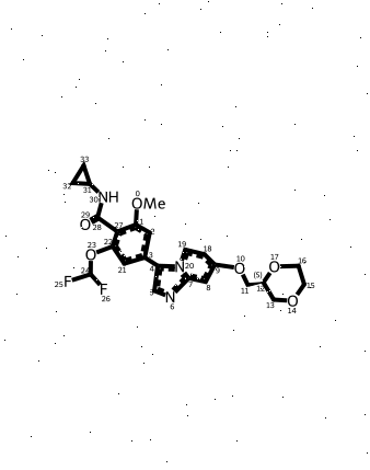 COc1cc(-c2cnc3cc(OC[C@@H]4COCCO4)ccn23)cc(OC(F)F)c1C(=O)NC1CC1